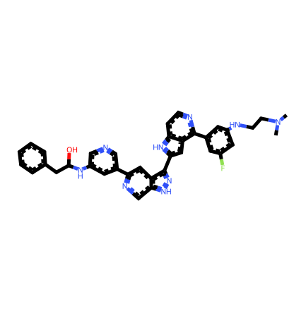 CN(C)CCNc1cc(F)cc(-c2nccc3[nH]c(-c4n[nH]c5cnc(-c6cncc(NC(O)Cc7ccccc7)c6)cc45)cc23)c1